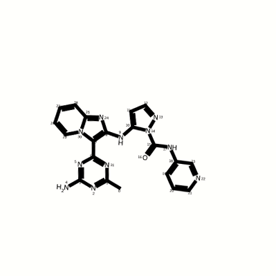 Cc1nc(N)nc(-c2c(Nc3ccnn3C(=O)Nc3cccnc3)nc3ccccn23)n1